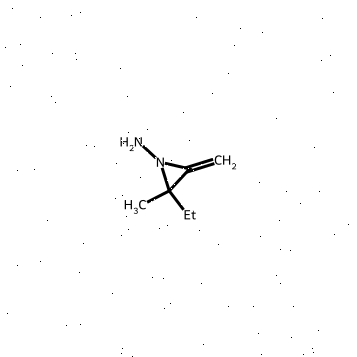 C=C1N(N)C1(C)CC